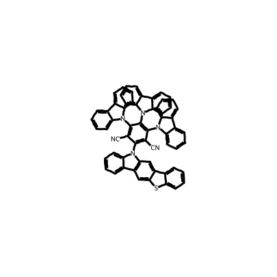 N#Cc1c(-n2c3ccccc3c3cc4sc5ccccc5c4cc32)c(C#N)c(-n2c3ccccc3c3ccccc32)c(-n2c3ccccc3c3ccccc32)c1-n1c2ccccc2c2ccccc21